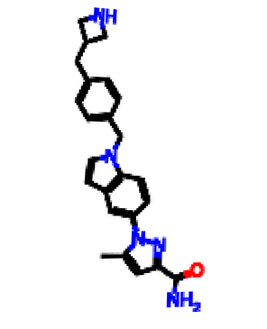 Cc1cc(C(N)=O)nn1-c1ccc2c(ccn2Cc2ccc(CC3CNC3)cc2)c1